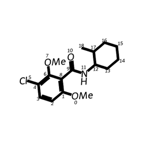 COc1ccc(Cl)c(OC)c1C(=O)NC1CCCCC1C